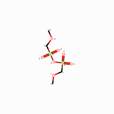 COCS(=O)(=O)OS(=O)(=O)COC